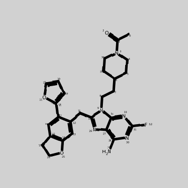 CC(=O)N1CCC(CCn2c(Cc3cc4c(cc3-c3ccco3)CCO4)nc3c(N)nc(F)nc32)CC1